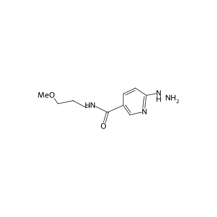 COCCCNC(=O)c1ccc(NN)nc1